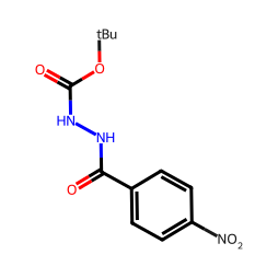 CC(C)(C)OC(=O)NNC(=O)c1ccc([N+](=O)[O-])cc1